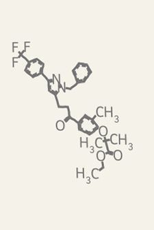 CCOC(=O)C(C)(C)Oc1ccc(C(=O)CCc2cc(-c3ccc(C(F)(F)F)cc3)nn2Cc2ccccc2)cc1C